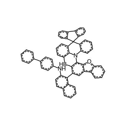 B1c2cccc3c2N(c2ccccc2C32c3ccccc3-c3ccccc32)c2c1c(-c1c(Nc3ccc(-c4ccccc4)cc3)ccc3ccccc13)cc1c2oc2ccccc21